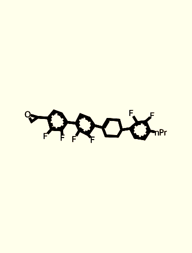 CCCc1ccc(C2CC=C(c3ccc(-c4ccc(C5CO5)c(F)c4F)c(F)c3F)CC2)c(F)c1F